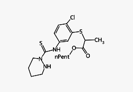 CCCCCOC(=O)C(C)Sc1cc(NC(=S)N2CCCCN2)ccc1Cl